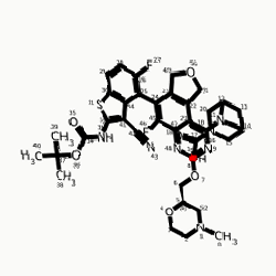 CN1CCO[C@@H](COc2nc(N3C4CC3CN(C(=O)O)C4)c3c4c(c(-c5c(F)ccc6sc(NC(=O)OC(C)(C)C)c(C#N)c56)c(F)c3n2)COC4)C1